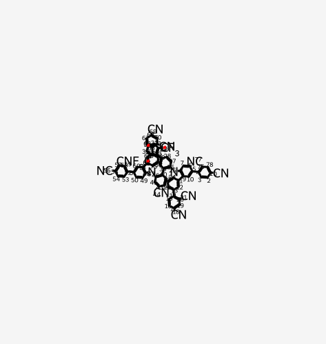 N#Cc1ccc(-c2ccc3c(c2)c2cc(-c4ccc(C#N)cc4C#N)ccc2n3-c2ccc(-c3c(C(F)(F)F)cccc3C(F)(F)F)cc2-c2ccc(C#N)cc2-n2c3ccc(-c4ccc(C#N)cc4C#N)cc3c3cc(-c4ccc(C#N)cc4C#N)ccc32)c(C#N)c1